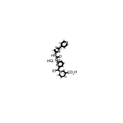 CCC(c1cccc(NC(=O)Nc2csc(-c3ccncc3)n2)n1)N1CCCC(C(=O)O)C1.Cl